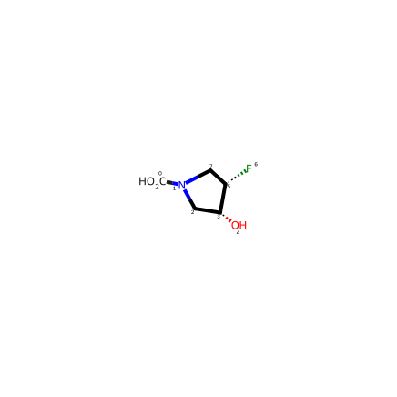 O=C(O)N1C[C@@H](O)[C@@H](F)C1